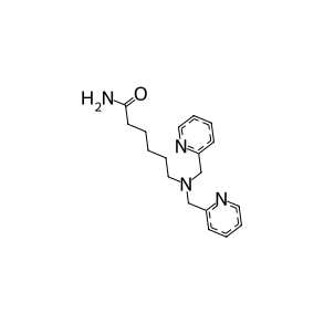 NC(=O)CCCCCN(Cc1ccccn1)Cc1ccccn1